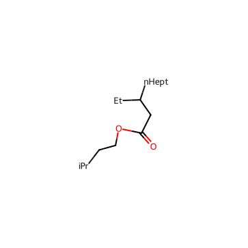 CCCCCCCC(CC)CC(=O)OCCC(C)C